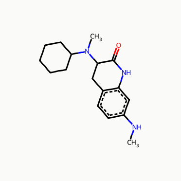 CNc1ccc2c(c1)NC(=O)C(N(C)C1CCCCC1)C2